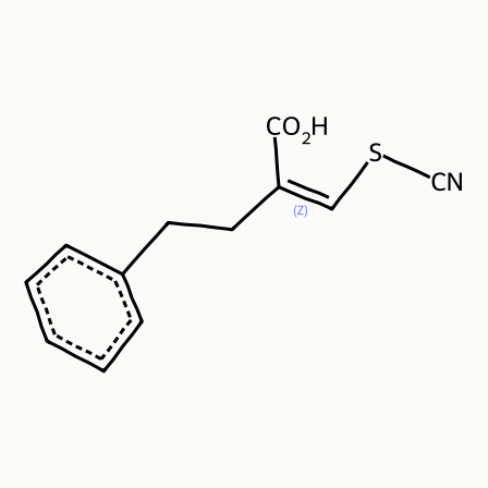 N#CS/C=C(/CCc1ccccc1)C(=O)O